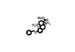 COC(=O)[C@@]1(C)CC[C@H](C)[C@@H]2c3cc(OCc4ccccc4)ccc3CC[C@H]21